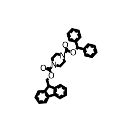 O=C(OCC1c2ccccc2-c2ccccc21)N1CCN(C(=O)OC(c2ccccc2)c2ccccc2)CC1